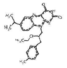 CCOC(Cc1ccc(C)cc1)Cn1c2nc(=O)[nH]c(=O)c-2nc2cc(C(C)C)ccc21